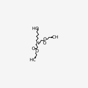 C#CCCOC(=O)CCN(CCCCCCO)CCC(=O)OCCC#C